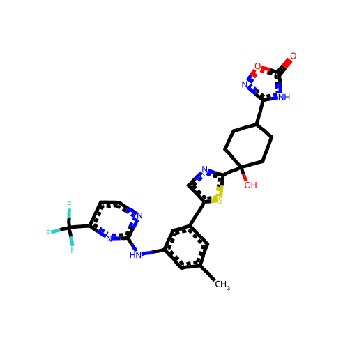 Cc1cc(Nc2nccc(C(F)(F)F)n2)cc(-c2cnc(C3(O)CCC(c4noc(=O)[nH]4)CC3)s2)c1